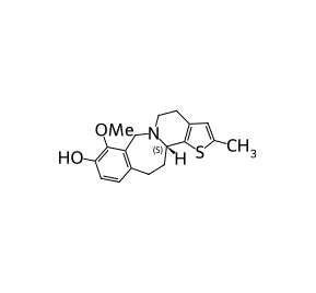 COc1c(O)ccc2c1CN1CCc3cc(C)sc3[C@@H]1CC2